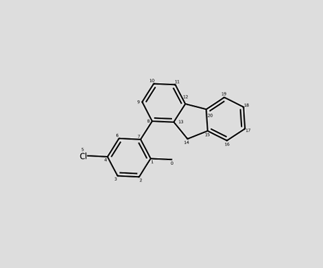 Cc1ccc(Cl)cc1-c1cccc2c1Cc1ccccc1-2